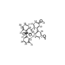 COc1ccc(C2=C(c3ccc(OC)cc3)c3ccc(C)c(C)c3P(=O)(c3cccc(C)c3C)O2)cc1